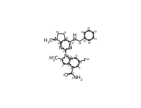 Cc1cc2c(C(N)=O)cc(F)cc2n1-c1nc(NCc2ccccc2)c2c(n1)N(C)CC2